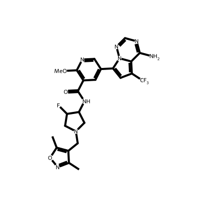 COc1ncc(-c2cc(C(F)(F)F)c3c(N)ncnn23)cc1C(=O)NC1CN(Cc2c(C)noc2C)CC1F